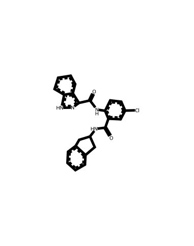 O=C(NC1Cc2ccccc2C1)c1cc(Cl)ccc1NC(=O)c1n[nH]c2ccccc12